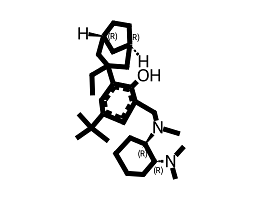 CCC1(c2cc(C(C)(C)C)cc(CN(C)[C@@H]3CCCC[C@H]3N(C)C)c2O)C[C@@H]2CC[C@H](C2)C1